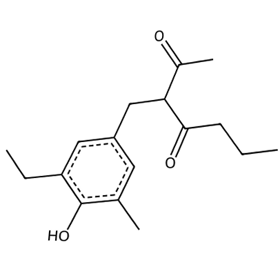 CCCC(=O)C(Cc1cc(C)c(O)c(CC)c1)C(C)=O